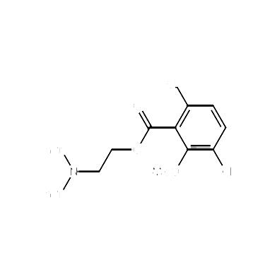 CCCN(CCC)CCOC(=O)c1c(Cl)ccc(Cl)c1OC